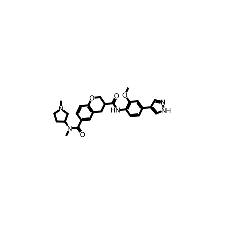 COc1cc(-c2cn[nH]c2)ccc1NC(=O)C1COc2ccc(C(=O)N(C)C3CCN(C)C3)cc2C1